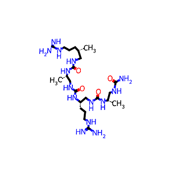 C[C@@H](CCCNC(=N)N)CNC(=O)N[C@@H](C)CNC(=O)N[C@@H](CCCNC(=N)N)CNC(=O)N[C@@H](C)CNC(N)=O